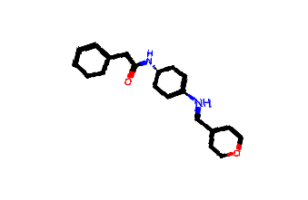 O=C(CC1CCCCC1)N[C@H]1CC[C@H](NCC2CCOCC2)CC1